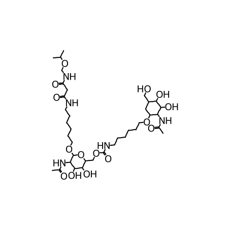 CC(=O)NC1C(OCCCCCCNC(=O)OCC2OC(OCCCCCCNC(=O)CC(=O)NCOC(C)C)C(NC(C)=O)C(O)C2O)CC(CO)C(O)C1O